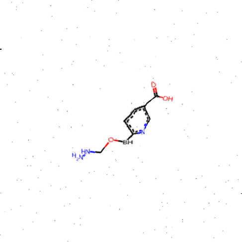 NNCOBc1ccc(C(=O)O)cn1